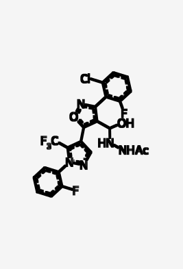 CC(=O)NNC(O)c1c(-c2c(F)cccc2Cl)noc1-c1cnn(-c2ccccc2F)c1C(F)(F)F